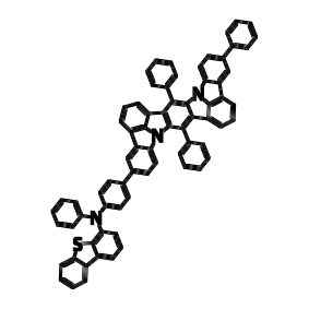 c1ccc(-c2ccc3c(c2)c2cccc4c5c(-c6ccccc6)c6c(c(-c7ccccc7)c5n3c24)c2cccc3c4cc(-c5ccc(N(c7ccccc7)c7cccc8c7sc7ccccc78)cc5)ccc4n6c32)cc1